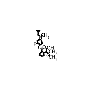 COC(C)=C(C(=O)O)c1ccccc1COc1ccc(N(C)CC2CC2)cc1F